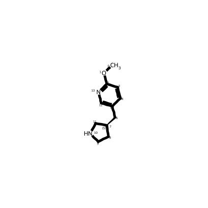 COc1ccc(C[C@H]2CCNC2)cn1